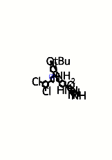 C=C(/C=C(/C1CCN(C(=O)C(C)(C)C)CC1)N(N)Cc1ccc(C(=O)Nc2nn[nH]n2)cc1)c1cc(Cl)cc(Cl)c1